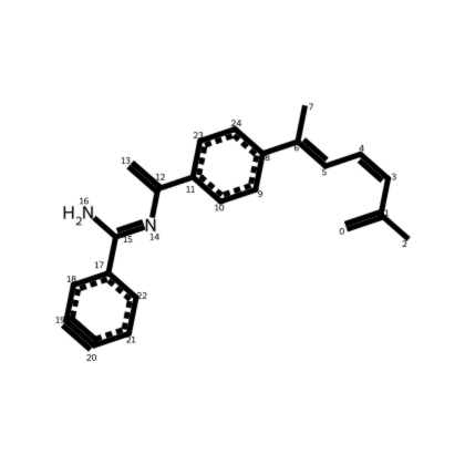 C=C(C)/C=C\C=C(/C)c1ccc(C(=C)/N=C(\N)c2cc#ccc2)cc1